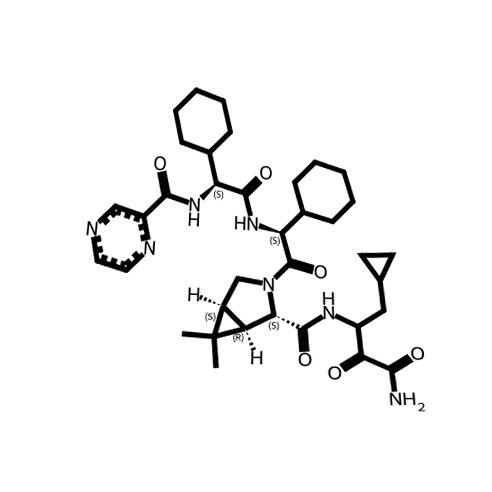 CC1(C)[C@@H]2[C@@H](C(=O)NC(CC3CC3)C(=O)C(N)=O)N(C(=O)[C@@H](NC(=O)[C@@H](NC(=O)c3cnccn3)C3CCCCC3)C3CCCCC3)C[C@@H]21